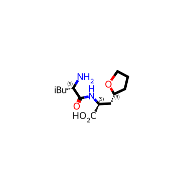 CCC(C)[C@H](N)C(=O)N[C@@H](C[C@H]1CCCO1)C(=O)O